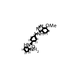 COc1cccc2c(NCc3ccc(C(=O)Nc4ccccc4N)cc3)ncnc12